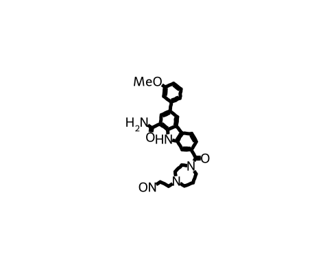 COc1cccc(-c2cc(C(N)=O)c3[nH]c4cc(C(=O)N5CCCN(CCN=O)CC5)ccc4c3c2)c1